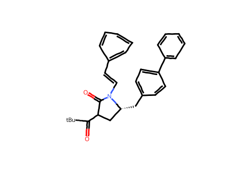 CC(C)(C)C(=O)C1C[C@@H](Cc2ccc(-c3ccccc3)cc2)N(/C=C/c2ccccc2)C1=O